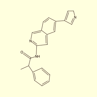 CC(C(=O)Nc1cc2cc(C3=CCN=C3)ccc2cn1)c1ccccc1